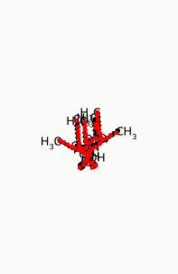 CCCCCCCCCCCCCC(=O)O[C@H](CCCCCCCCCCC)CC(=O)NCCO[C@@H]1O[C@H](CO)[C@@H](OP(=O)(OCc2ccccc2)OCc2ccccc2)[C@H](OC(=O)C[C@@H](CCCCCCCCCCC)OC(=O)CCCCCCCCCCCCC)[C@H]1NC(=O)C[C@@H](CCCCCCCCCCC)OC(=O)CCCCCCCCCCCCC